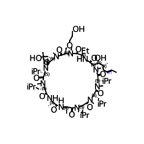 C/C=C/C[C@@H](C)[C@@H](O)[C@H]1C(=O)N[C@@H](CC)C(=O)N(C)[C@H](COCCCO)C(=O)N(C)[C@@H](CC(C)(C)O)C(=O)N[C@@H](C(C)C)C(=O)N(C)[C@@H](CC(C)C)C(=O)N[C@@H](C)C(=O)N[C@H](C)C(=O)N(C)[C@@H](CC(C)C)C(=O)N(C)[C@@H](CC(C)C)C(=O)N(C)[C@@H](C(C)C)C(=O)N1C